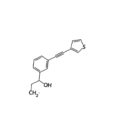 [CH2]CC(O)c1cccc(C#Cc2ccsc2)c1